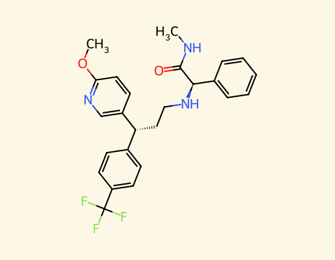 CNC(=O)[C@H](NCC[C@H](c1ccc(C(F)(F)F)cc1)c1ccc(OC)nc1)c1ccccc1